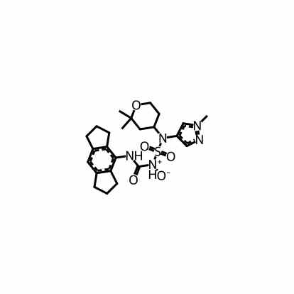 Cn1cc(N(C2CCOC(C)(C)C2)S(=O)(=O)[NH+]([O-])C(=O)Nc2c3c(cc4c2CCC4)CCC3)cn1